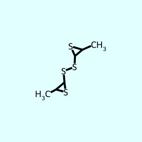 CC1SC1SSC1SC1C